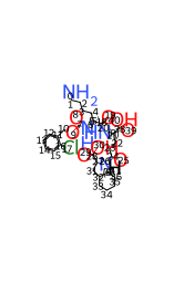 NCCCC[C@H](NC(=O)OCc1ccccc1Cl)C(=O)N[C@H](CCC(=O)N1C(C(=O)O)CC2CCCC[C@@H]21)C(=O)O